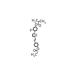 C=CC(=O)Oc1ccc(/C=C/c2ccc(-c3ccc(OC(=O)C(=C)C)cc3F)o2)cc1